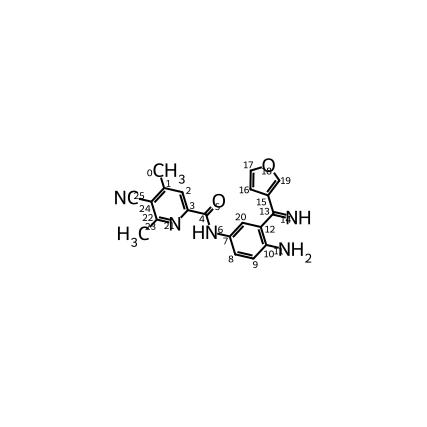 Cc1cc(C(=O)Nc2ccc(N)c(C(=N)c3ccoc3)c2)nc(C)c1C#N